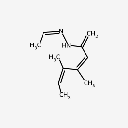 C=C(/C=C(C)\C(C)=C/C)N/N=C\C